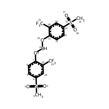 CS(=O)(=O)c1ccc(OBOc2ccc(S(C)(=O)=O)cc2C(F)(F)F)c(C(F)(F)F)c1